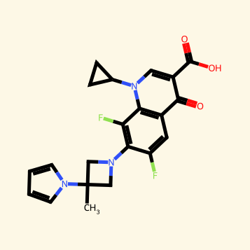 CC1(n2cccc2)CN(c2c(F)cc3c(=O)c(C(=O)O)cn(C4CC4)c3c2F)C1